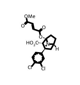 COC(=O)/C=C/C(=O)O[C@@]12CC[C@H](C[C@@H](c3ccc(Cl)c(Cl)c3)[C@@H]1C(=O)O)N2C